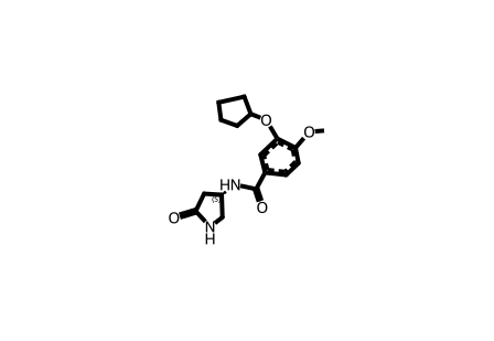 COc1ccc(C(=O)N[C@@H]2CNC(=O)C2)cc1OC1CCCC1